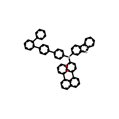 c1ccc(-c2ccccc2-c2ccc(-c3ccc(N(c4ccc(-c5cccc6cccc(-c7ccccc7)c56)cc4)c4ccc5c(c4)sc4ccccc45)cc3)cc2)cc1